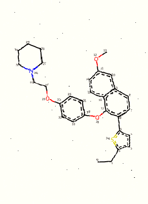 CCc1ccc(-c2ccc3cc(OC)ccc3c2Oc2ccc(OCCN3CCCCC3)cc2)s1